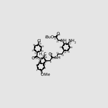 COc1ccc2c(c1)c(CC(=O)NCCc1ccc(N)c(NCC(=O)OCC(C)C)c1)c(C)n2C(=O)c1ccc(Cl)cc1